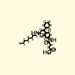 CCCCCCCCNC(=O)/C=C(/c1ccccc1)c1ccc(NC(=O)CCC(=O)O)cc1